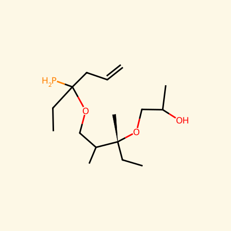 C=CCC(P)(CC)OCC(C)[C@@](C)(CC)OCC(C)O